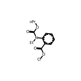 CCCOC(=O)N(CC)c1ccccc1C(=O)OCl